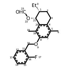 CC[C@@H]1CCc2c(C)cc(OCc3ccccc3F)c(C)c2[C@@H]1OC=O